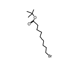 CC(C)(C)OC(=O)CCCCCCCCBr